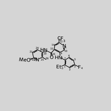 CCc1cc(F)ccc1Nc1cnc(C(F)(F)F)cc1C(=O)Nc1ccc(OC)nc1C